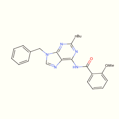 CCCCc1nc(NC(=O)c2ccccc2OC)c2ncn(Cc3ccccc3)c2n1